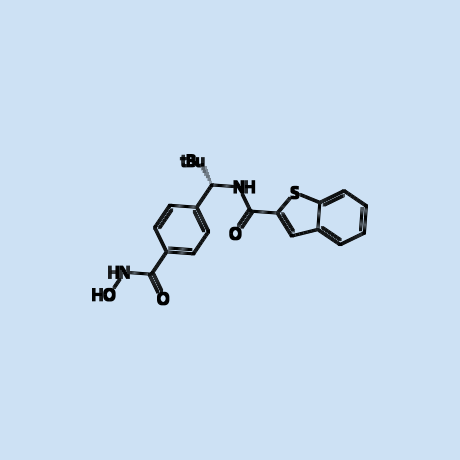 CC(C)(C)[C@H](NC(=O)c1cc2ccccc2s1)c1ccc(C(=O)NO)cc1